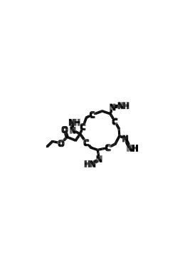 CCOC(=O)CC1(N=N)CCCCC(N=N)CCC(N=N)CCC(N=N)CC1